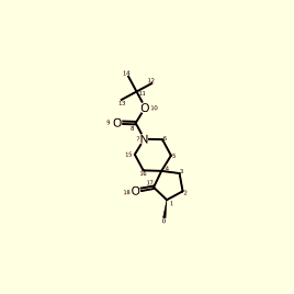 C[C@@H]1CCC2(CCN(C(=O)OC(C)(C)C)CC2)C1=O